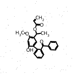 C=CC(=O)OC(C)c1cc(-c2ccccc2C(=O)c2ccccc2)c(O)cc1OC